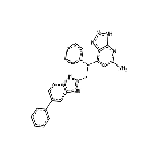 Nc1cc(C(Cc2nc3ccc(-c4ccccc4)cc3[nH]2)c2ccccc2)c2nn[nH]c2n1